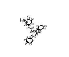 c1ccc(SCc2cc3ccccc3n2CCCC2CCCNC2)cc1